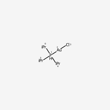 CC(C)[PH]([Au][Cl])(C(C)C)C(C)C